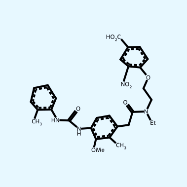 CCN(CCOc1ccc(C(=O)O)cc1[N+](=O)[O-])C(=O)Cc1ccc(NC(=O)Nc2ccccc2C)c(OC)c1C